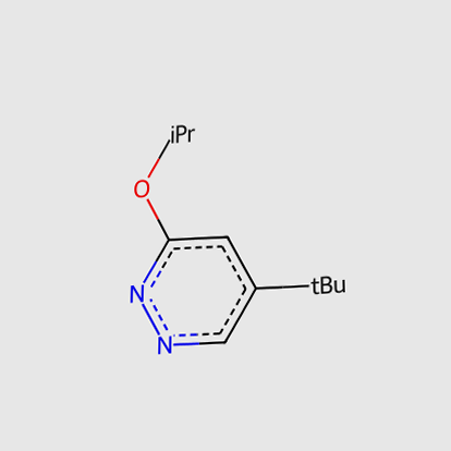 CC(C)Oc1cc(C(C)(C)C)cnn1